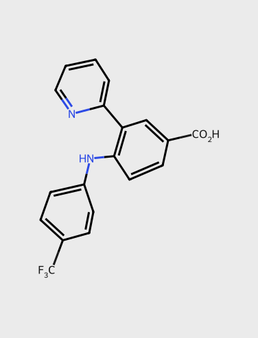 O=C(O)c1ccc(Nc2ccc(C(F)(F)F)cc2)c(-c2ccccn2)c1